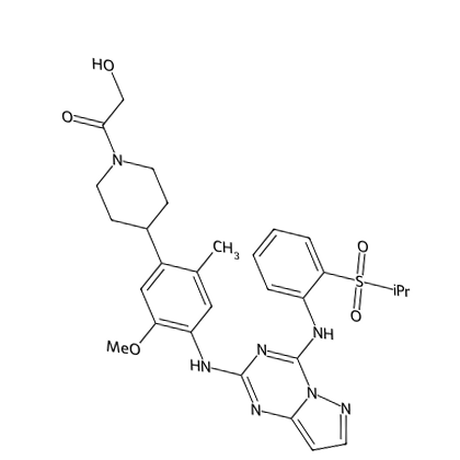 COc1cc(C2CCN(C(=O)CO)CC2)c(C)cc1Nc1nc(Nc2ccccc2S(=O)(=O)C(C)C)n2nccc2n1